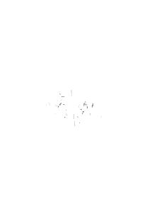 CCOC(=O)C1NCc2[nH]c3cc(OC)c(OC)cc3c2C1CC